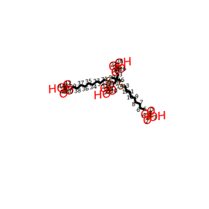 O=S(=O)(O)OCCCCCCCCCSCC(COS(=O)(=O)O)(COS(=O)(=O)O)CSCCCCCCCCCOS(=O)(=O)O